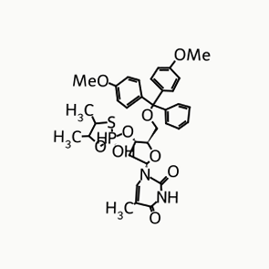 COc1ccc(C(OC[C@H]2O[C@H](n3cc(C)c(=O)[nH]c3=O)C[C@@H]2O[PH]2(O)OC(C)C(C)S2)(c2ccccc2)c2ccc(OC)cc2)cc1